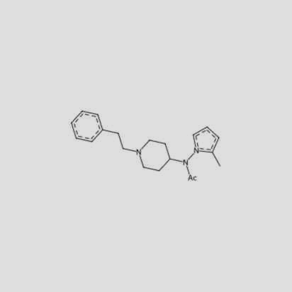 CC(=O)N(C1CCN(CCc2ccccc2)CC1)n1cccc1C